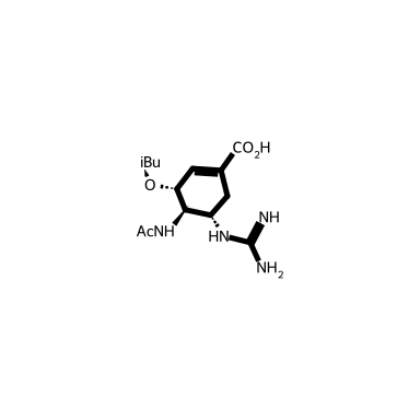 CC[C@@H](C)O[C@@H]1C=C(C(=O)O)C[C@H](NC(=N)N)[C@H]1NC(C)=O